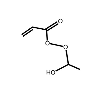 C=CC(=O)OOC(C)O